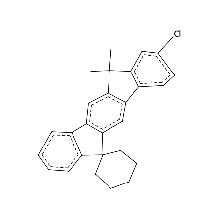 CC1(C)c2cc(Cl)ccc2-c2cc3c(cc21)-c1ccccc1C31CCCCC1